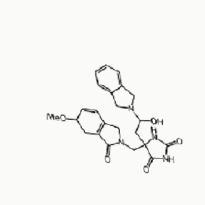 COC1C=CC2=C(C1)C(=O)N(CC1(CC(O)N3Cc4ccccc4C3)NC(=O)NC1=O)C2